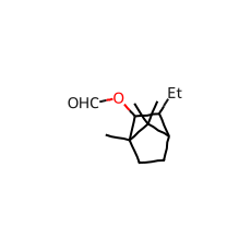 CCC1C2CCC(C)(C1OC=O)C2(C)C